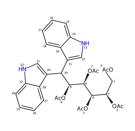 CC(=O)OC[C@@H](OC(C)=O)[C@@H](OC(C)=O)[C@H](OC(C)=O)[C@@H](OC(C)=O)C(c1c[nH]c2ccccc12)c1c[nH]c2ccccc12